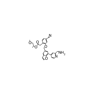 COCC(C)OC(=O)Cc1ccc(C#N)cc1OCc1cc(-c2ccnc(CN)c2)c2occc2c1